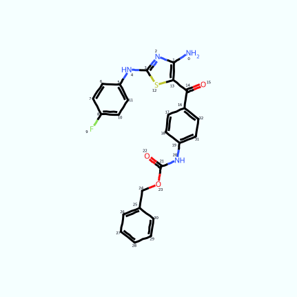 Nc1nc(Nc2ccc(F)cc2)sc1C(=O)c1ccc(NC(=O)OCc2ccccc2)cc1